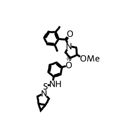 COC1CN(C(=O)c2c(C)cccc2C)C[C@H]1Oc1cccc(NSN2CC3CC3C2)c1